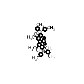 Cc1ccc(N(c2ccc3c4c(cc(C(C)C)c3c2)-c2cc(C(C)C)c3cc(N(c5ccc(C)cc5)c5cc(C)ccc5C)ccc3c2C42c3ccccc3-c3ccccc32)c2cc(C)ccc2C)cc1